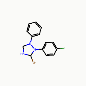 Fc1ccc(N2C(S)NCN2c2ccccc2)cc1